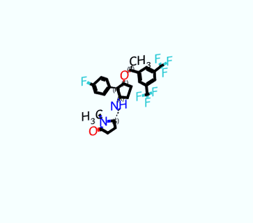 C[C@@H](O[C@H]1CC[C@@H](NC[C@@H]2CCC(=O)N2C)[C@H]1c1ccc(F)cc1)c1cc(C(F)(F)F)cc(C(F)(F)F)c1